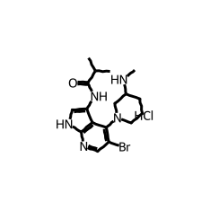 CNC1CCCN(c2c(Br)cnc3[nH]cc(NC(=O)C(C)C)c23)C1.Cl